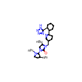 CCCCc1cn(-c2c(CCC)ccn2CCC)c(=O)n1Cc1ccc(-c2ccccc2-c2nnn[nH]2)nc1